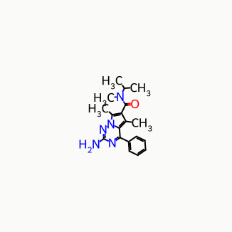 Cc1c(C(=O)N(C)C(C)C)c(C)n2nc(N)nc(-c3ccccc3)c12